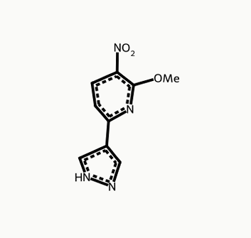 COc1nc(-c2cn[nH]c2)ccc1[N+](=O)[O-]